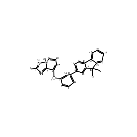 Cc1nc2c(Oc3cccc(-c4ccc5c(c4)C(C)(C)c4ccccc4-5)c3)cccn2n1